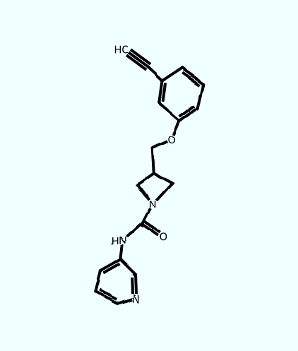 C#Cc1cccc(OCC2CN(C(=O)Nc3cccnc3)C2)c1